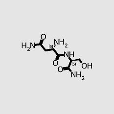 NC(=O)C[C@H](N)C(=O)N[C@@H](CO)C(N)=O